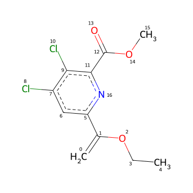 C=C(OCC)c1cc(Cl)c(Cl)c(C(=O)OC)n1